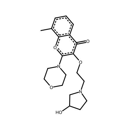 Cc1cccc2c(=O)c(OCCN3CCC(O)C3)c(N3CCOCC3)oc12